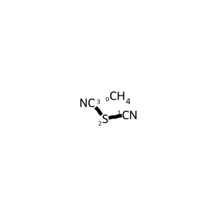 C.N#CSC#N